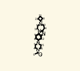 CC(=O)N1CCN(c2ccc3c(c2)nc2n3CCN(C3CCC3)CC2)CC1